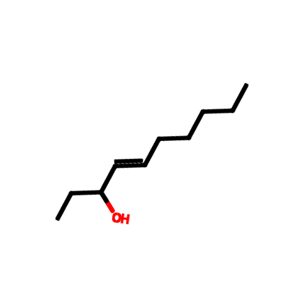 CCCCC/C=C/C(O)CC